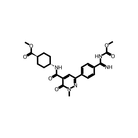 COC(=O)NC(=N)c1ccc(-c2cc(C(=O)N[C@H]3CC[C@H](C(=O)OC)CC3)c(=O)n(C)n2)cc1